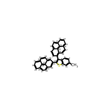 Cc1ccc2c(-c3ccc4ccc5cccc6ccc3c4c56)c(-c3cc4ccc5cccc6ccc(c3)c4c56)sc2c1